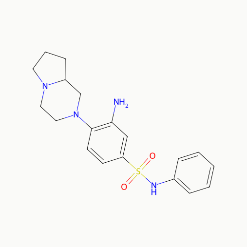 Nc1cc(S(=O)(=O)Nc2ccccc2)ccc1N1CCN2CCCC2C1